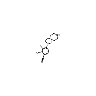 Cc1c(N2CCC3(CCNCC3)C2)ccc(C#N)c1Cl